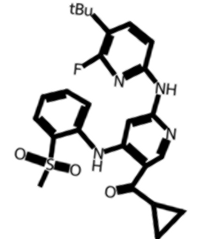 CC(C)(C)c1ccc(Nc2cc(Nc3ccccc3S(C)(=O)=O)c(C(=O)C3CC3)cn2)nc1F